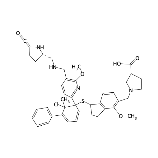 COc1nc(C2(SC3CCc4c3ccc(CN3CC[C@@H](C(=O)O)C3)c4OC)C=CC=C(c3ccccc3)C2(C)Cl)ccc1CNC[C@@H]1CCC(=C=O)N1